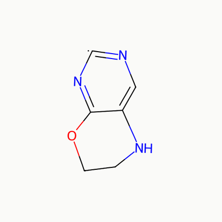 [c]1ncc2c(n1)OCCN2